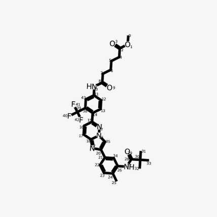 COC(=O)CCCCC(=O)Nc1ccc(-c2ccc3nc(-c4ccc(C)c(NC(=O)C(C)(C)C)c4)cn3n2)c(C(F)(F)F)c1